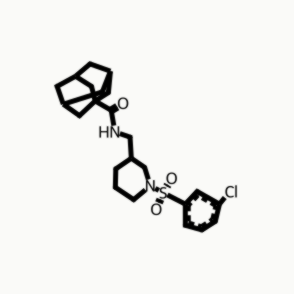 O=C(NCC1CCCN(S(=O)(=O)c2cccc(Cl)c2)C1)C12CC3CC(CC(C3)C1)C2